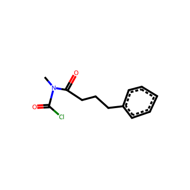 CN(C(=O)Cl)C(=O)CCCc1ccccc1